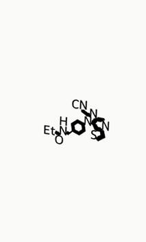 CCC(=O)NC[C@H]1CC[C@H](n2c(CC#N)nc3cnc4ccsc4c32)CC1